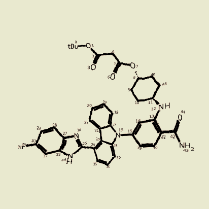 CC(C)(C)OC(=O)CC(=O)O[C@H]1CC[C@H](Nc2cc(-n3c4ccccc4c4c(-c5nc6ccc(F)cc6[nH]5)cccc43)ccc2C(N)=O)CC1